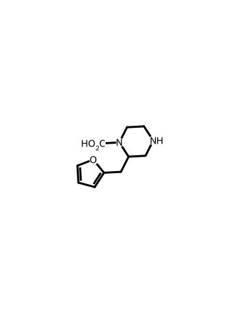 O=C(O)N1CCNCC1Cc1ccco1